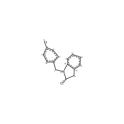 CCc1ccc(CN2[C](Cl)Cc3ccccc32)cc1